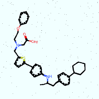 CC(Cc1ccc(C2CCCCC2)cc1)Nc1ccc(-c2ccc(CN(CCOc3ccccc3)CC(=O)O)s2)cc1